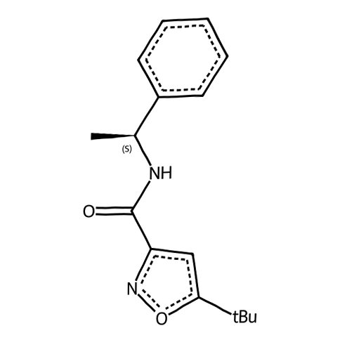 C[C@H](NC(=O)c1cc(C(C)(C)C)on1)c1ccccc1